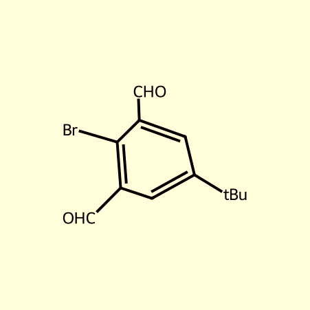 CC(C)(C)c1cc(C=O)c(Br)c(C=O)c1